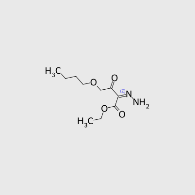 CCCCOCC(=O)/C(=N/N)C(=O)OCC